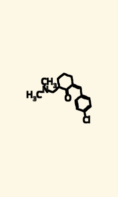 CN(C)CC1CCCC(=Cc2ccc(Cl)cc2)C1=O